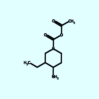 CCC1CN(C(=O)OC(C)=O)CCC1N